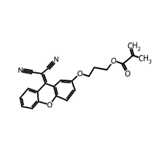 C=C(C)C(=O)OCCCOc1ccc2c(c1)C(=C(C#N)C#N)c1ccccc1O2